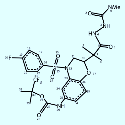 CNC(=O)NNC(=O)C(C)(C)C1CN(S(=O)(=O)c2ccc(F)cc2)c2cc(NC(=O)OC(C)(C)C(F)(F)F)ccc2O1